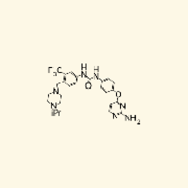 CC(C)N1CCN(Cc2ccc(NC(=O)Nc3ccc(Oc4ccnc(N)n4)cc3)cc2C(F)(F)F)CC1